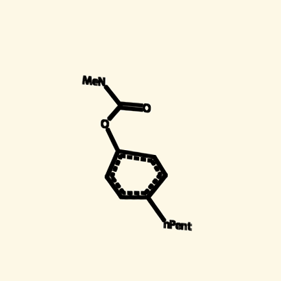 CCCCCc1ccc(OC(=O)NC)cc1